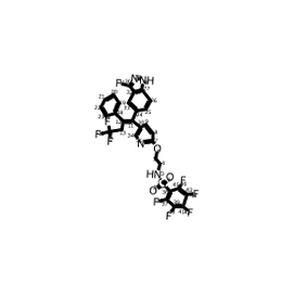 O=S(=O)(NCCOc1ccc(C(=C(CC(F)(F)F)c2ccccc2)c2ccc3[nH]nc(F)c3c2)cn1)c1c(F)c(F)c(F)c(F)c1F